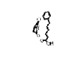 O=C(O)CCCCCc1ccccc1.O=C1C=C2C(=O)N12